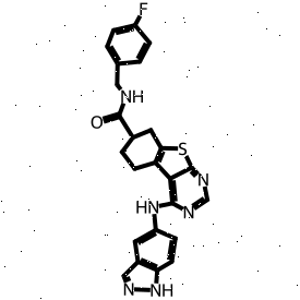 O=C(NCc1ccc(F)cc1)C1CCc2c(sc3ncnc(Nc4ccc5[nH]ncc5c4)c23)C1